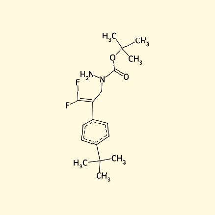 CC(C)(C)OC(=O)N(N)CC(=C(F)F)c1ccc(C(C)(C)C)cc1